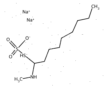 CCCCCCCCC(NC)[SH-]S(=O)(=O)[O-].[Na+].[Na+]